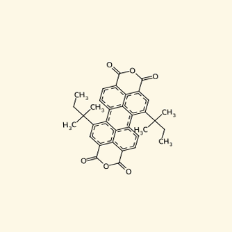 CCC(C)(C)c1cc2c3c(ccc4c5c(C(C)(C)CC)cc6c7c(ccc(c1c34)c75)C(=O)OC6=O)C(=O)OC2=O